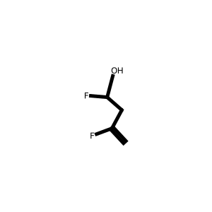 C=C(F)CC(O)F